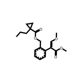 CCCC1(C(=O)OCc2ccccc2/C(=C/OC)C(=O)OC)CC1